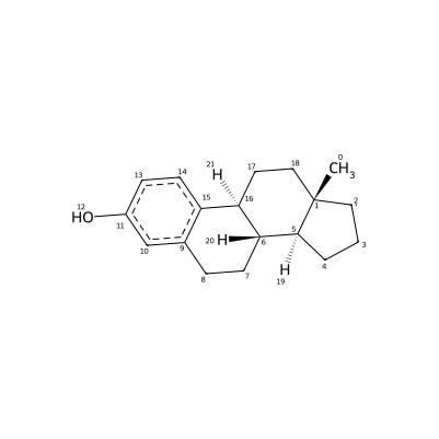 C[C@@]12[CH]CC[C@H]1[C@@H]1CCc3cc(O)ccc3[C@H]1CC2